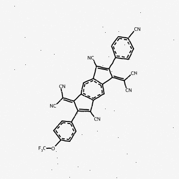 N#CC(C#N)=C1C(c2ccc(C#N)cc2)=C(C#N)c2cc3c(cc21)C(C#N)=C(c1ccc(OC(F)(F)F)cc1)C3=C(C#N)C#N